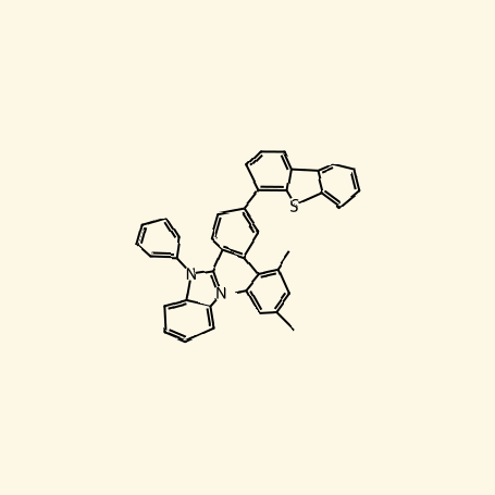 Cc1cc(C)c(-c2cc(-c3cccc4c3sc3ccccc34)ccc2-c2nc3ccccc3n2-c2ccccc2)c(C)c1